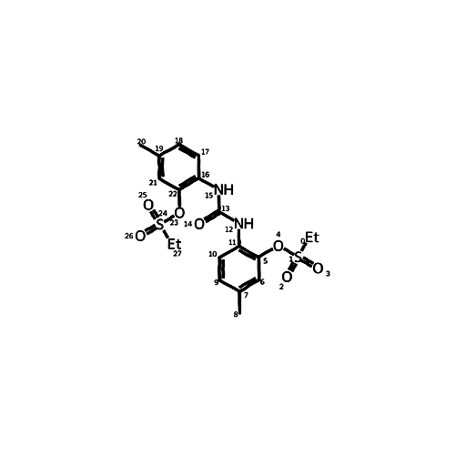 CCS(=O)(=O)Oc1cc(C)ccc1NC(=O)Nc1ccc(C)cc1OS(=O)(=O)CC